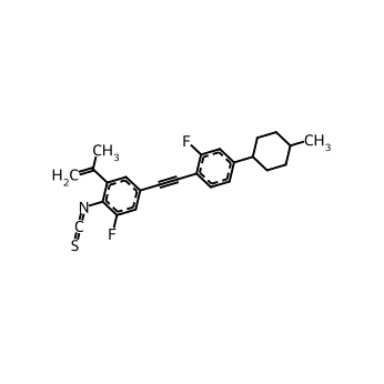 C=C(C)c1cc(C#Cc2ccc(C3CCC(C)CC3)cc2F)cc(F)c1N=C=S